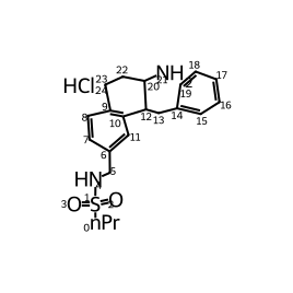 CCCS(=O)(=O)NCc1ccc2c(c1)C(Cc1ccccc1)C(N)CC2.Cl